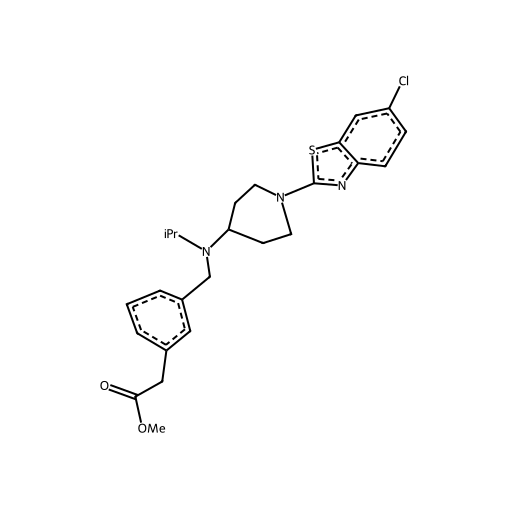 COC(=O)Cc1cccc(CN(C(C)C)C2CCN(c3nc4ccc(Cl)cc4s3)CC2)c1